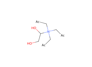 CC(=O)C[N+](CC(C)=O)(CC(C)=O)C(O)CO